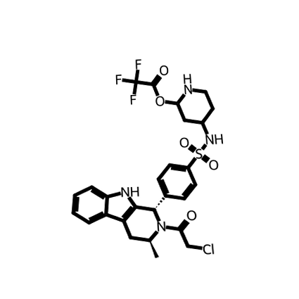 C[C@H]1Cc2c([nH]c3ccccc23)[C@H](c2ccc(S(=O)(=O)NC3CCNC(OC(=O)C(F)(F)F)C3)cc2)N1C(=O)CCl